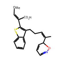 COC=C(C(=O)O)c1sc2ccccc2c1CCC=C(C)C1C=CC=NO1